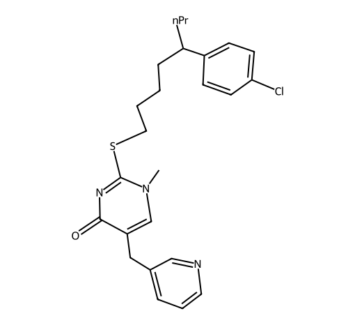 CCCC(CCCCSc1nc(=O)c(Cc2cccnc2)cn1C)c1ccc(Cl)cc1